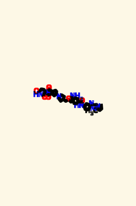 C[C@H]1CCCN1Cc1nc2cc(NC(=O)C3=CCC(CCCC4CCN(c5ccc6c(c5)C(=O)N(C5CCC(=O)NC5=O)C6=O)CC4)(C(N)=O)C=C3)ccc2[nH]1